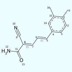 Cc1ccc(/C=C/C=C(\C#N)C(N)=O)cc1C